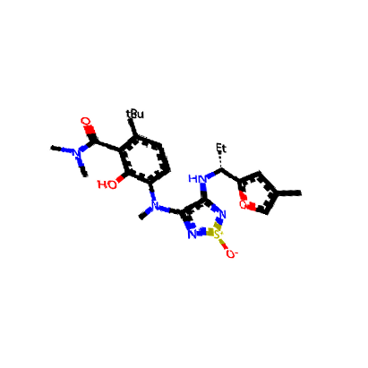 CC[C@@H](Nc1n[s+]([O-])nc1N(C)c1ccc(C(C)(C)C)c(C(=O)N(C)C)c1O)c1cc(C)co1